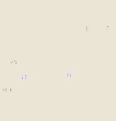 CC(C)N(C)C1CCN(C2CCCC(F)(F)C2)C1